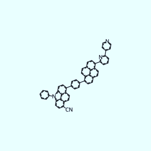 N#Cc1ccc2c3c1ccc1c(-c4ccc(-c5ccc6ccc7c(-c8cccc(-c9ccncc9)n8)ccc8ccc5c6c87)cc4)ccc(c13)n2-c1ccccc1